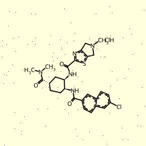 CN1Cc2nc(C(=O)N[C@@H]3C[C@@H](C(=O)N(C)C)CC[C@@H]3NC(=O)c3ccc4cc(Cl)ccc4c3)sc2C1.Cl